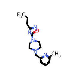 Cc1cccc(CN2CCN(c3nc(CCC(F)(F)F)no3)CC2)n1